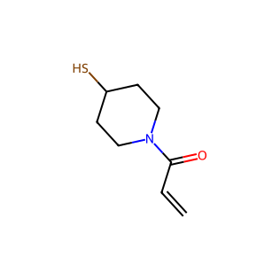 C=CC(=O)N1CCC(S)CC1